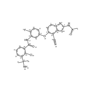 CC(=O)Nc1nc2ccc(Oc3ccc(F)c(NC(=O)c4cccc(C(C)(C)N)c4Cl)c3)c(C#N)c2s1